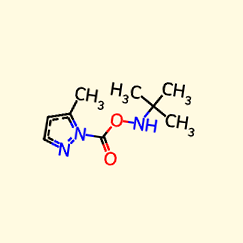 Cc1ccnn1C(=O)ONC(C)(C)C